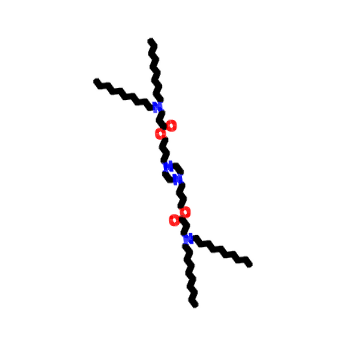 CCCCCCCCCCN(CCCCCCCCCC)CCC(=O)OCCCCN1CCN(CCCCOC(=O)CCN(CCCCCCCCCC)CCCCCCCCCC)CC1